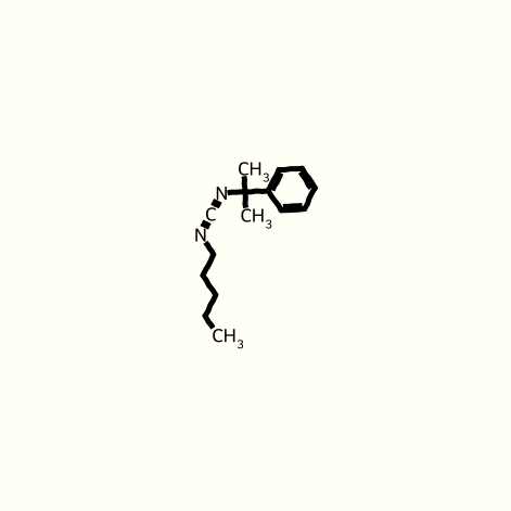 CCCCCN=C=NC(C)(C)c1ccccc1